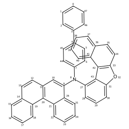 c1ccc(-c2ccc(N(c3cc4ccc5ccccc5c4c4ccccc34)c3cccc4oc5ccc6ccccc6c5c34)cc2)cc1